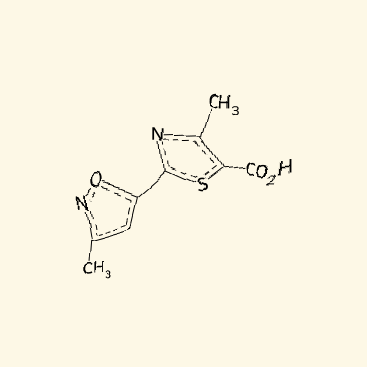 Cc1cc(-c2nc(C)c(C(=O)O)s2)on1